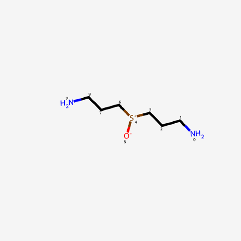 NCCC[S+]([O-])CCCN